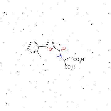 Cc1ccccc1-c1ccc(C(=O)N[C@@H](CC(=O)O)C(=O)O)o1